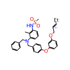 CC/C=C/COc1cccc(Oc2ccc(CN(Cc3ccccc3)c3cccc(NS(C)(=O)=O)c3C)cc2)c1